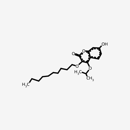 CCCCCCCCCCOc1c(OC(C)C)c2ccc(O)cc2oc1=O